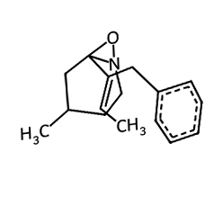 C/C=C(\Cc1ccccc1)C12CC(C)CCN1O2